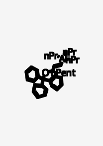 CCCCCC(/C=[CH]/[Al-]([CH2]CC)([CH2]CC)[CH2]CC)OC(c1ccccc1)(c1ccccc1)c1ccccc1